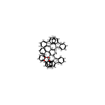 c1ccc(-c2c(-n3c4ccccc4c4ccccc43)c(-n3c4ccccc4c4ccccc43)nc(-n3c4ccccc4c4ccccc43)c2-n2c3ccccc3c3ccccc32)c(-c2nc3ccccc3o2)c1